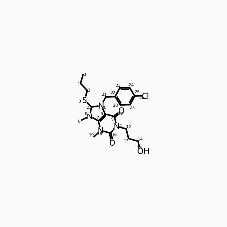 CCCSC1N(C)c2c(c(=O)n(CCCO)c(=O)n2C)N1Cc1ccc(Cl)cc1